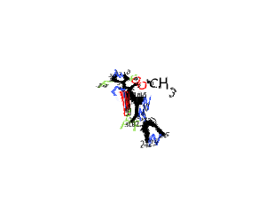 CCOC(=O)c1c(-c2c(F)cncc2F)noc1-c1cnn(-c2ccncc2)c1C(F)(F)F